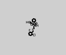 O=[N+](O)c1ccccc1S(=O)(=O)NCCSCc1c(F)cccc1Cl